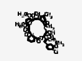 CC[C@@]12C=C(C)C[C@H]1C[C@H](OC)[C@H]1O[C@@](O)(C(=O)C(=O)N3CCCC[C@H]3C(=O)O[C@H](/C(C)=C/[C@@H]3CC[C@H](Cl)[C@H](OC)C3)[C@H](C)[C@@H](O)CC2=O)[C@H](C)C[C@@H]1OC